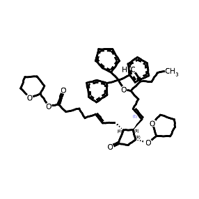 CCCC(C)C(C/C=C/[C@H]1[C@H](OC2CCCCO2)CC(=O)[C@@H]1CC=CCCCC(=O)OC1CCCCO1)OC(c1ccccc1)(c1ccccc1)c1ccccc1